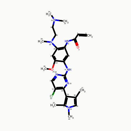 C=CC(=O)Nc1cc(Nc2ncc(Cl)c(-c3c(C)cn(C)c3C)n2)c(OC)cc1N(C)CCN(C)C